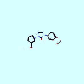 O=C(O)c1cccc(N2CCN(C3C=C4OCCOC4=CC3)C2=O)c1